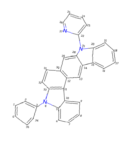 c1ccc(-n2c3ccccc3c3c4cc5c6ccccc6n(-c6ccccn6)c5cc4ccc32)cc1